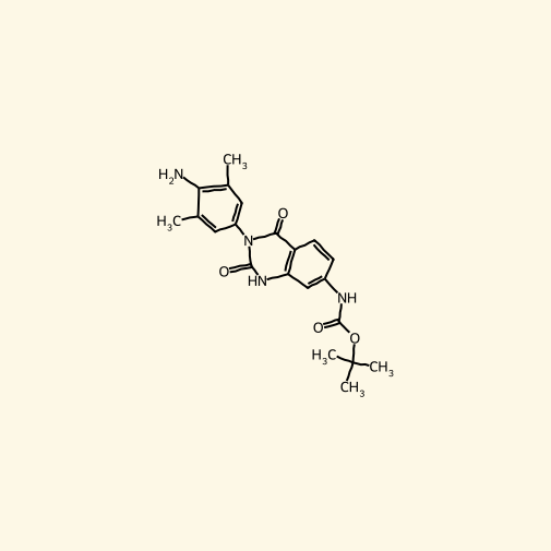 Cc1cc(-n2c(=O)[nH]c3cc(NC(=O)OC(C)(C)C)ccc3c2=O)cc(C)c1N